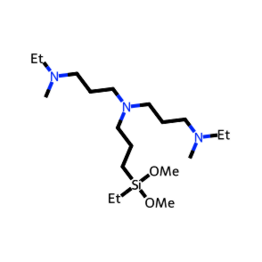 CCN(C)CCCN(CCCN(C)CC)CCC[Si](CC)(OC)OC